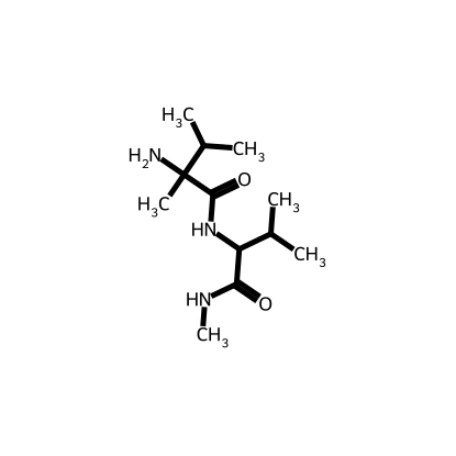 CNC(=O)C(NC(=O)C(C)(N)C(C)C)C(C)C